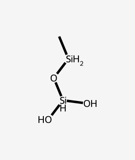 C[SiH2]O[SiH](O)O